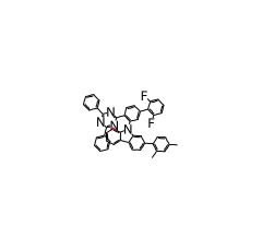 Cc1ccc(-c2ccc3c4ccccc4n(-c4cc(-c5c(F)cccc5F)ccc4-c4nc(-c5ccccc5)nc(-c5ccccc5)n4)c3c2)c(C)c1